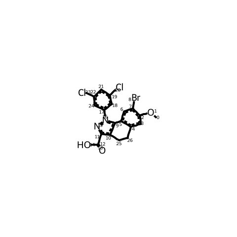 COc1cc2c(cc1Br)-c1c(c(C(=O)O)nn1-c1cc(Cl)cc(Cl)c1)CC2